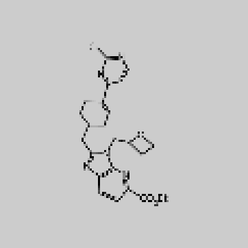 CCOC(=O)c1ccc2nc(CC3CC=C(c4ccnc(Cl)n4)CC3)n(CC3CCO3)c2n1